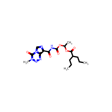 CCCC(CCC)C(=O)OC(C)OC(=O)NC(=O)c1ncn2c(=O)n(C)nnc12